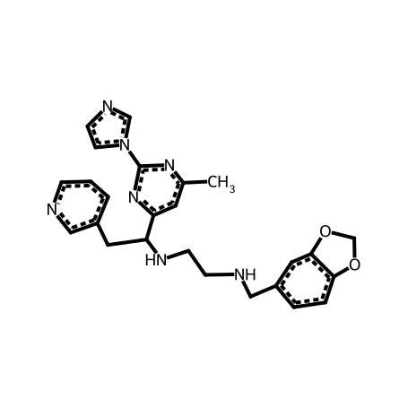 Cc1cc(C(Cc2cccnc2)NCCNCc2ccc3c(c2)OCO3)nc(-n2ccnc2)n1